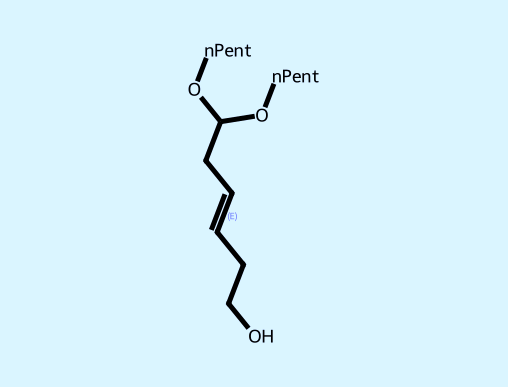 CCCCCOC(C/C=C/CCO)OCCCCC